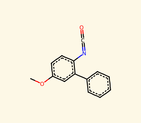 COc1ccc(N=C=O)c(-c2ccccc2)c1